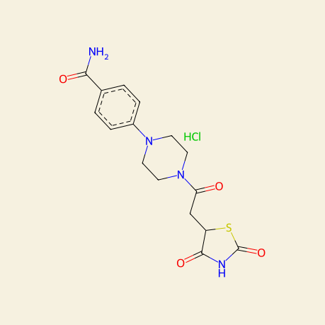 Cl.NC(=O)c1ccc(N2CCN(C(=O)CC3SC(=O)NC3=O)CC2)cc1